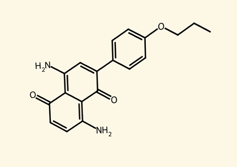 CCCOc1ccc(C2=CC(N)=C3C(=O)C=CC(N)=C3C2=O)cc1